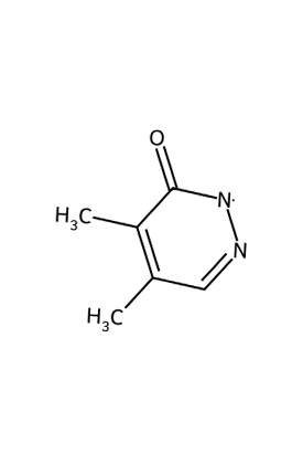 CC1=C(C)C(=O)[N]N=C1